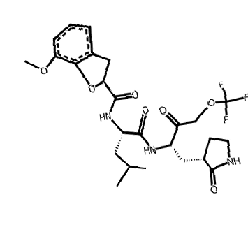 COc1cccc2c1OC(C(=O)N[C@@H](CC(C)C)C(=O)N[C@@H](C[C@@H]1CCNC1=O)C(=O)COC(F)(F)F)C2